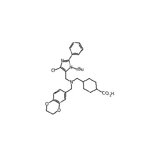 CCCCn1c(-c2ccccc2)nc(Cl)c1CN(Cc1ccc2c(c1)OCCO2)CC1CCC(C(=O)O)CC1